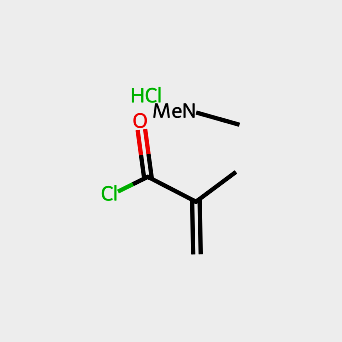 C=C(C)C(=O)Cl.CNC.Cl